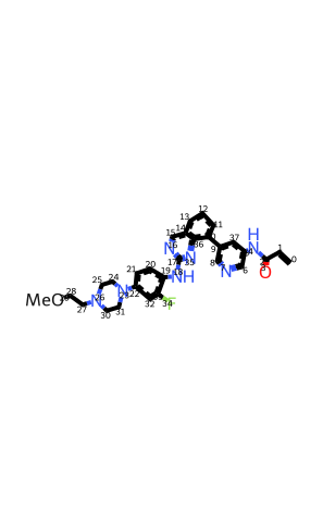 C=CC(=O)Nc1cncc(-c2cccc3cnc(Nc4ccc(N5CCN(CCOC)CC5)cc4F)nc23)c1